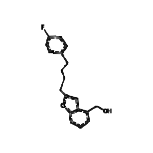 OCc1cccc2oc(CCCCc3ccc(F)cc3)cc12